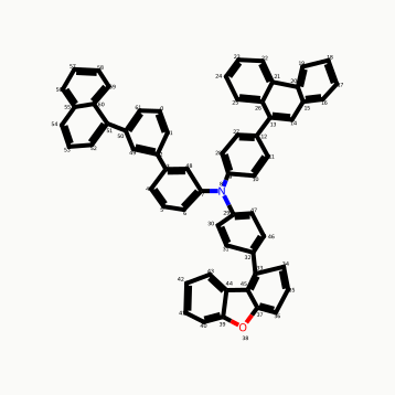 c1cc(-c2cccc(N(c3ccc(-c4cc5ccccc5c5ccccc45)cc3)c3ccc(-c4cccc5oc6ccccc6c45)cc3)c2)cc(-c2cccc3ccccc23)c1